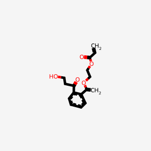 C=CC(=O)OCCOC(=C)c1ccccc1C(=O)CCO